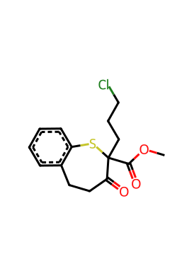 COC(=O)C1(CCCCl)Sc2ccccc2CCC1=O